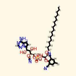 CCCCCCCCCCCCCCCCCCOC[C@H](COP(=O)(O)OC[C@@H](OC#N)[C@@H](O)[C@@H](O)c1ccc2c(N)ncnn12)Oc1c(C#N)cc(C)cc1C#N